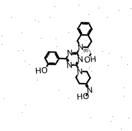 OC[C@H]1Cc2ccccc2CN1c1nc(-c2cccc(O)c2)nc(N2CCC(=NO)CC2)n1